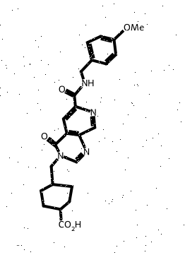 COc1ccc(CNC(=O)c2cc3c(=O)n(CC4CCC(C(=O)O)CC4)cnc3cn2)cc1